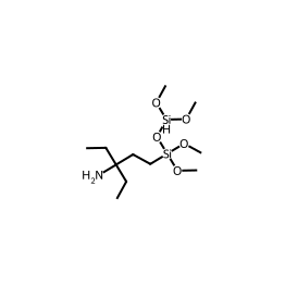 CCC(N)(CC)CC[Si](OC)(OC)O[SiH](OC)OC